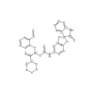 O=Cc1ccccc1CN(CC(=O)Nc1ccc2c(c1)CC1(C2)C(=O)Nc2ccccc21)C(=O)C1CCCCO1